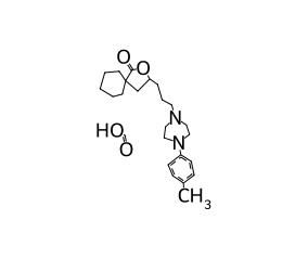 Cc1ccc(N2CCN(CCCC3CC4(CCCCC4)C(=O)O3)CC2)cc1.O=CO